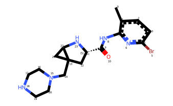 Cc1ccc(Br)nc1NC(=O)[C@@H]1CC2(CN3CCNCC3)CC2N1